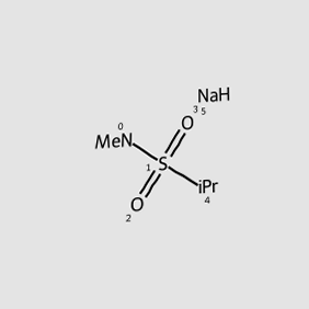 CNS(=O)(=O)C(C)C.[NaH]